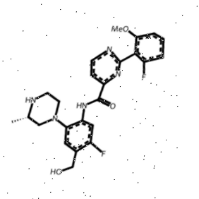 COc1cccc(F)c1-c1nccc(C(=O)Nc2cc(F)c(CO)cc2N2CCN[C@@H](C)C2)n1